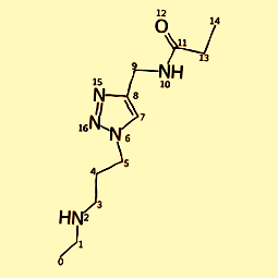 CCNCCCn1cc(CNC(=O)CC)nn1